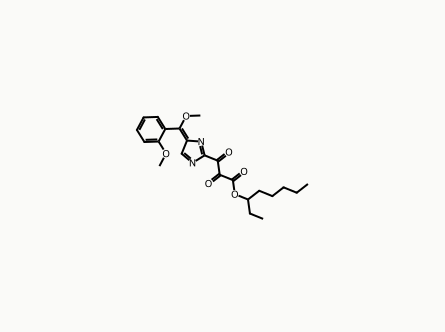 CCCCCC(CC)OC(=O)C(=O)C(=O)C1=NC(=C(OC)c2ccccc2OC)C=N1